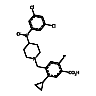 O=C(O)c1cc(C2CC2)c(CN2CCC([S+]([O-])c3cc(Cl)cc(Cl)c3)CC2)cc1F